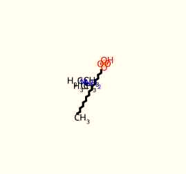 CCCCCCCCCCCCCCCCCCOS(=O)(=O)O.CN.CN(C)C